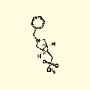 CS(=O)(=O)CC1[C@H]2CN(Cc3ccccc3)C[C@@H]12